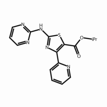 CC(C)OC(=O)c1sc(Nc2ncccn2)nc1-c1ccccn1